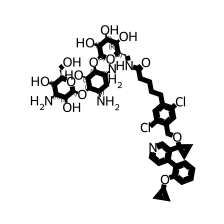 N[C@H]1[C@H](O)[C@H](O[C@H]2[C@H](O)[C@@H](O[C@@H]3O[C@@H](CNC(=O)CCCCc4cc(Cl)c(COC5(c6cnccc6-c6ccccc6OC6CC6)CC5)cc4Cl)[C@H](O)[C@@H](O)[C@@H]3O)[C@H](N)C[C@@H]2N)O[C@@H](CO)[C@@H]1O